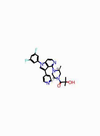 C[C@@H]1CN(c2nccc3c2c(-c2ccncc2)cn3-c2cc(F)cc(F)c2)[C@@H](C)CN1C(=O)C(C)(C)O